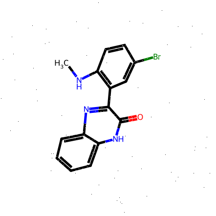 CNc1ccc(Br)cc1-c1nc2ccccc2[nH]c1=O